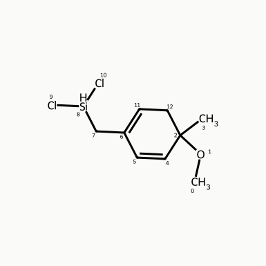 COC1(C)C=CC(C[SiH](Cl)Cl)=CC1